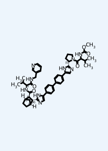 COC(=O)NC(C(=O)N1CCC[C@H]1c1ncc(-c2ccc(-c3ccc(-c4cnc([C@@H]5[C@H]6CC[C@H](C6)[C@H]5C(=O)N[C@H](C(=O)NCc5cccnc5)C(C)C)[nH]4)cc3)cc2)[nH]1)C(C)C